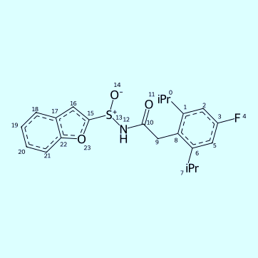 CC(C)c1cc(F)cc(C(C)C)c1CC(=O)N[S+]([O-])c1cc2ccccc2o1